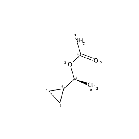 C[C@H](OC(N)=O)C1CC1